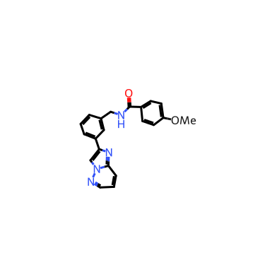 COc1ccc(C(=O)NCc2cccc(-c3cn4ncccc4n3)c2)cc1